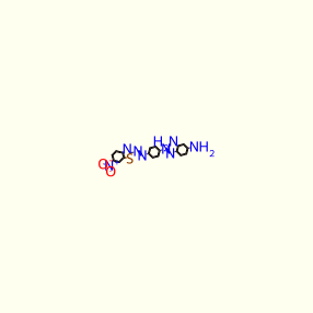 Nc1ccc(N=Nc2ccc(N=Nc3nc4ccc([N+](=O)[O-])cc4s3)cc2)c(N)c1